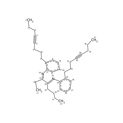 CCCC#CCCCc1ccccc1N=C(CC)C(CCCC)=Nc1ccccc1CCCC#CCCC